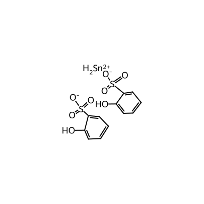 O=S(=O)([O-])c1ccccc1O.O=S(=O)([O-])c1ccccc1O.[SnH2+2]